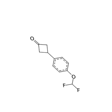 O=C1CC(c2ccc(OC(F)F)cc2)C1